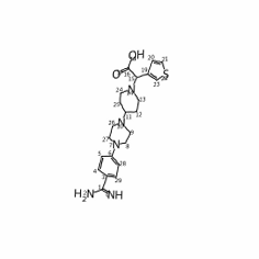 N=C(N)c1ccc(N2CCN(C3CCN(C(C(=O)O)c4ccsc4)CC3)CC2)cc1